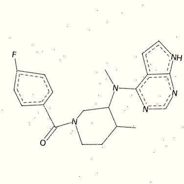 CC1CCN(C(=O)c2ccc(F)cc2)CC1N(C)c1ncnc2[nH]ccc12